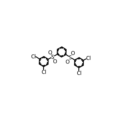 O=S(=O)(c1cc(Cl)cc(Cl)c1)c1cccc(S(=O)(=O)c2cc(Cl)cc(Cl)c2)c1